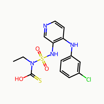 CCN(C(O)=S)S(=O)(=O)Nc1cnccc1Nc1cccc(Cl)c1